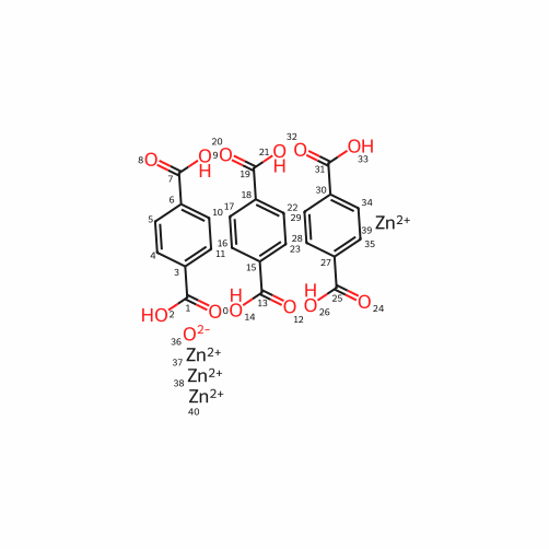 O=C(O)c1ccc(C(=O)O)cc1.O=C(O)c1ccc(C(=O)O)cc1.O=C(O)c1ccc(C(=O)O)cc1.[O-2].[Zn+2].[Zn+2].[Zn+2].[Zn+2]